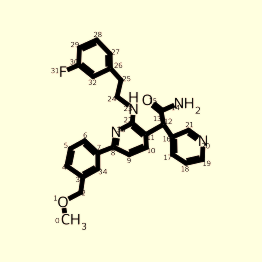 COCc1cccc(-c2ccc(C(C(N)=O)c3cccnc3)c(NCCc3cccc(F)c3)n2)c1